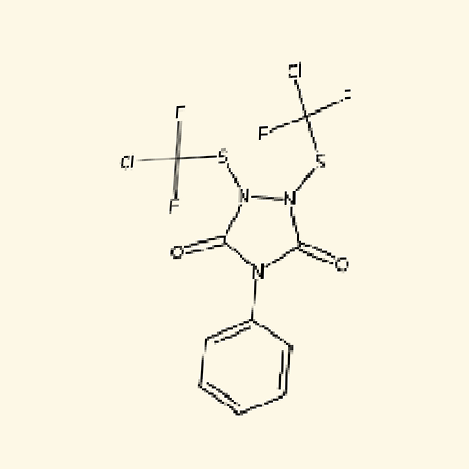 O=c1n(-c2ccccc2)c(=O)n(SC(F)(F)Cl)n1SC(F)(F)Cl